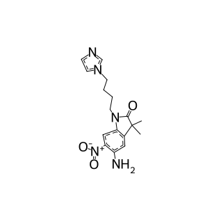 CC1(C)C(=O)N(CCCCn2ccnc2)c2cc([N+](=O)[O-])c(N)cc21